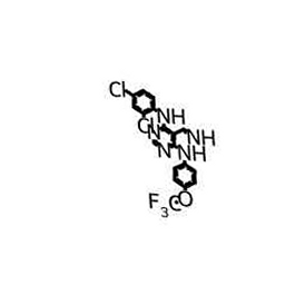 N=Cc1c(Nc2ccc(OC(F)(F)F)cc2)ncnc1Nc1ccc(Cl)cc1Cl